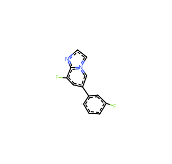 Fc1cc[c]c(-c2cc(F)c3nccn3c2)c1